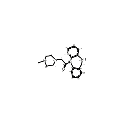 CN1CCN(CC(=O)N2c3ccccc3CNc3cccnc32)CC1